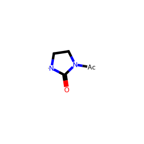 CC(=O)N1CC[N]C1=O